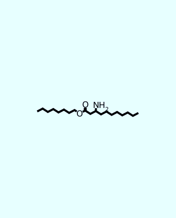 CCCCCCCCOC(=O)CC(N)CCCCCCCC